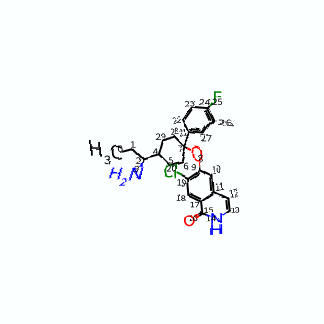 CC[C@H](N)C1CCC(Oc2cc3cc[nH]c(=O)c3cc2Cl)(c2ccc(F)cc2)CC1